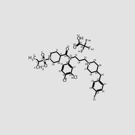 CC(C)S(=O)(=O)N1CCC(C(=O)N(CCCN2CCC(Cc3ccc(F)cc3)CC2)c2ccc(Cl)c(Cl)c2)CC1.O=C(O)C(F)(F)F